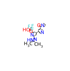 Cc1nc(-c2cc(-c3cncc(C(=O)N4CCC4)c3)ccn2)[nH]c1C.O=C(O)C(F)(F)F